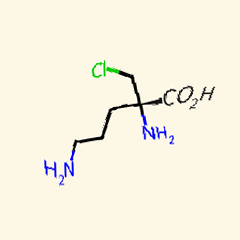 NCCC[C@@](N)(CCl)C(=O)O